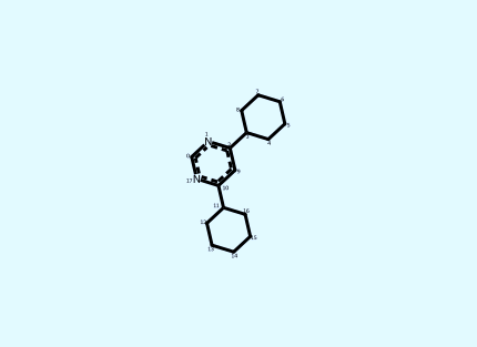 c1nc(C2CCCCC2)cc(C2CCCCC2)n1